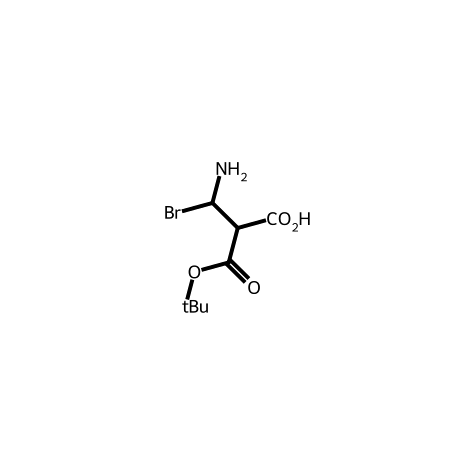 CC(C)(C)OC(=O)C(C(=O)O)C(N)Br